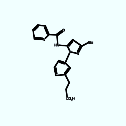 CC(C)(C)c1cc(NC(=O)c2ccccn2)n(-c2cccc(CCC(=O)O)c2)n1